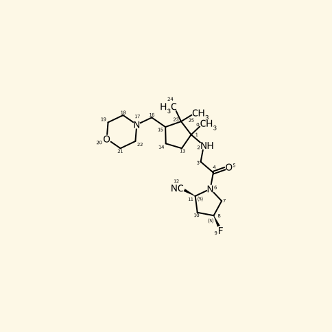 CC1(NCC(=O)N2C[C@@H](F)C[C@H]2C#N)CCC(CN2CCOCC2)C1(C)C